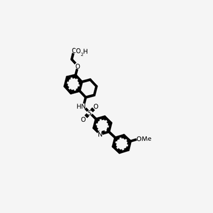 COc1cccc(-c2ccc(S(=O)(=O)NC3CCCc4c(OCC(=O)O)cccc43)cn2)c1